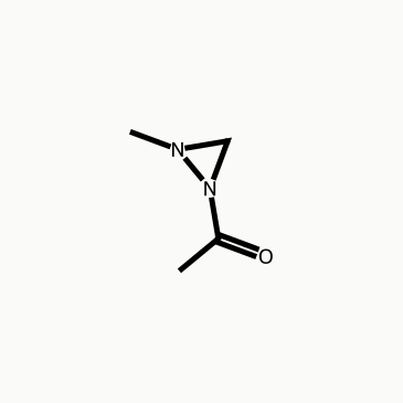 CC(=O)N1CN1C